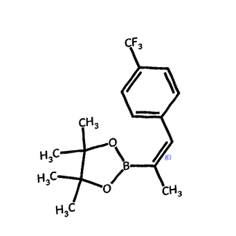 C/C(=C/c1ccc(C(F)(F)F)cc1)B1OC(C)(C)C(C)(C)O1